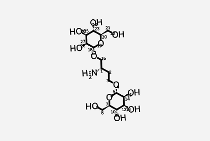 N[C@@H](CCO[C@H]1O[C@H](CO)[C@@H](O)[C@H](O)[C@@H]1O)CO[C@H]1O[C@H](CO)[C@@H](O)[C@H](O)[C@@H]1O